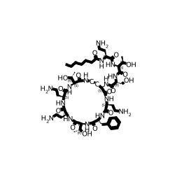 CCCCCCC(=O)N[C@@H](CCN)C(=O)N[C@H](C(=O)N[C@H](CO)C(=O)N[C@H]1CCNC(=O)[C@H]([C@@H](C)O)NC(=O)[C@H](CCN)NC(=O)[C@H](CCN)NC(=O)[C@H]([C@@H](C)O)NC(=O)[C@@H](Cc2ccccc2)NC(=O)[C@H](CCN)NC1=O)[C@@H](C)O